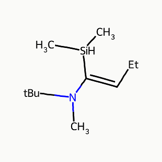 CC/C=C(/N(C)C(C)(C)C)[SiH](C)C